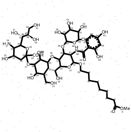 COC(=O)CCCCCCCCOC1OC(CO)C(OC2CC(CO)C(O)C(OC3(C(=O)O)CC(O)C(N)C([C@H](O)[C@H](O)CO)O3)C2O)C(OC2OC(C)C(O)C(O)C2O)C1NC(=O)c1ccc(O)cc1O